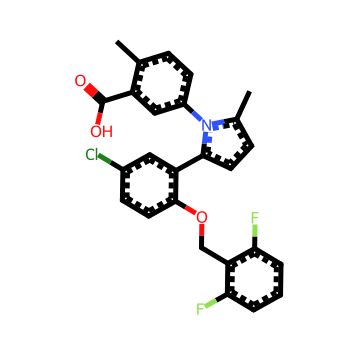 Cc1ccc(-n2c(C)ccc2-c2cc(Cl)ccc2OCc2c(F)cccc2F)cc1C(=O)O